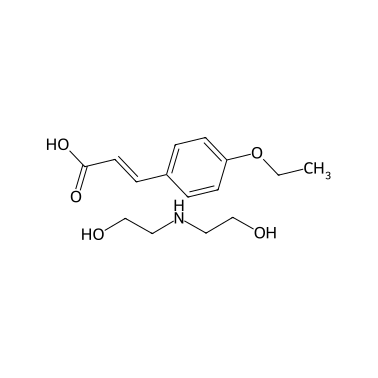 CCOc1ccc(C=CC(=O)O)cc1.OCCNCCO